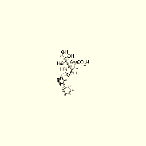 O=C(Cn1cc(-c2ccccc2)nn1)NC1C(C(O)C(O)CO)OC(C(=O)O)=C[C@H]1O